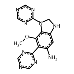 COc1c(-c2ncncn2)c(N)cc2c1N(c1ncncn1)CN2